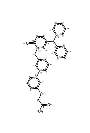 O=C(O)COc1cccc(-c2cccc(Cn3nc(C(c4ccccc4)c4ccccc4)ccc3=O)c2)c1